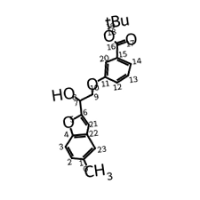 Cc1ccc2oc(C(O)COc3cccc(C(=O)OC(C)(C)C)c3)cc2c1